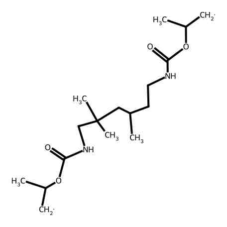 [CH2]C(C)OC(=O)NCCC(C)CC(C)(C)CNC(=O)OC([CH2])C